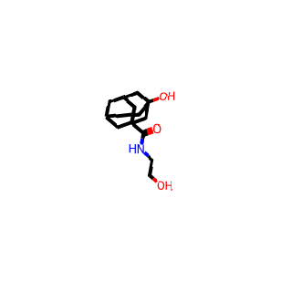 O=C(NCCO)C12CC3CC(CC(O)(C3)C1)C2